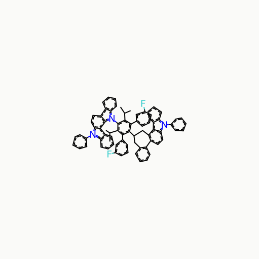 CC(C)c1c(-c2cccc(F)c2)c(C2Cc3ccccc3-c3ccc4c(c3C2)c2ccccc2n4-c2ccccc2)c(-c2cccc(F)c2)c(C(C)C)c1-n1c2ccccc2c2ccc3c(c4ccccc4n3-c3ccccc3)c21